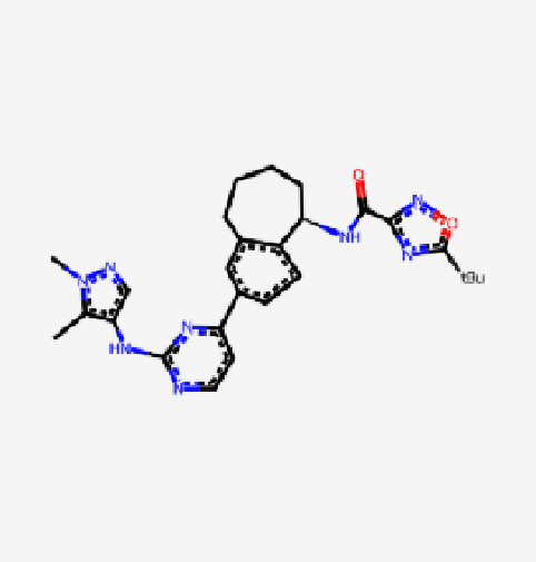 Cc1c(Nc2nccc(-c3ccc4c(c3)CCCC[C@H]4NC(=O)c3noc(C(C)(C)C)n3)n2)cnn1C